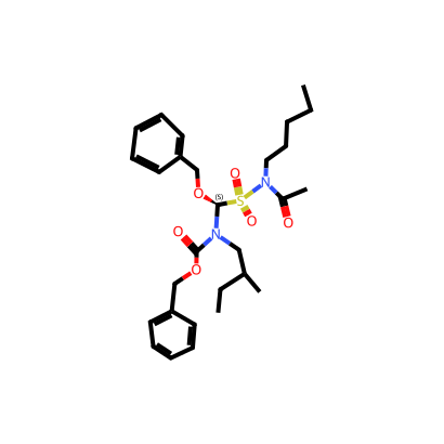 CCCCCN(C(C)=O)S(=O)(=O)[C@H](OCc1ccccc1)N(CC(C)CC)C(=O)OCc1ccccc1